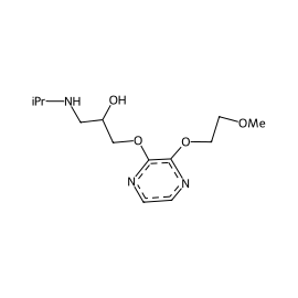 COCCOc1nccnc1OCC(O)CNC(C)C